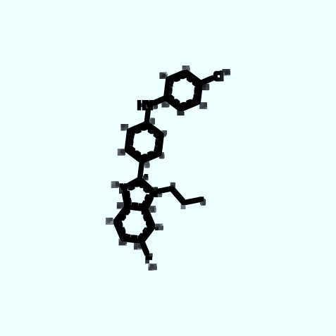 CCCn1c(-c2ccc(Nc3ccc(Cl)cc3)cc2)nc2ccc(F)cc21